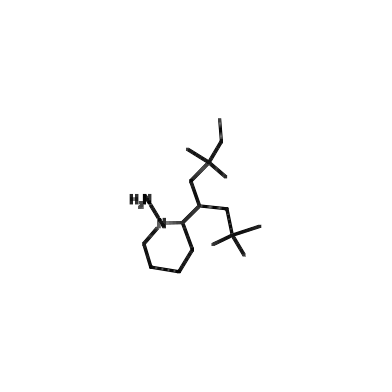 CCC(C)(C)CC(CC(C)(C)C)C1CCCCN1N